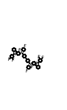 Fc1ccc(N(c2ccc(-c3ccc(N(c4ccc5c(c4)c4ccccc4n5-c4ccc(F)c(F)c4)c4ccc(F)cc4F)cc3)cc2)c2ccc3c(c2)c2ccccc2n3-c2ccc(F)c(F)c2)c(F)c1